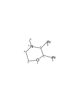 CC(C)C1OCCN(C)C1C(C)C